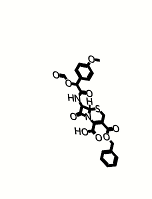 COc1ccc(C(OC=O)C(=O)NC2C(=O)N3C(C(=O)O)=C(C(=O)OCc4ccccc4)CS[C@@H]23)cc1